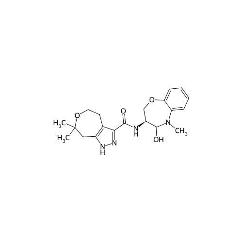 CN1c2ccccc2OC[C@H](NC(=O)c2n[nH]c3c2CCOC(C)(C)C3)C1O